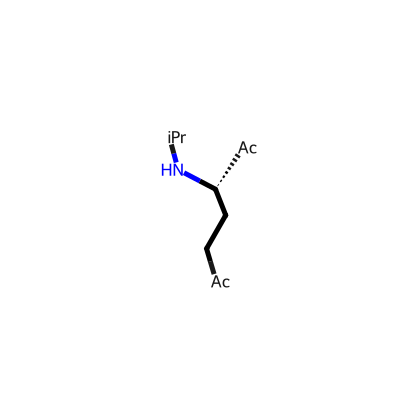 CC(=O)CC[C@H](NC(C)C)C(C)=O